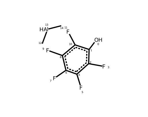 Oc1c(F)c(F)c(F)c(F)c1F.[CH3][AlH][CH3]